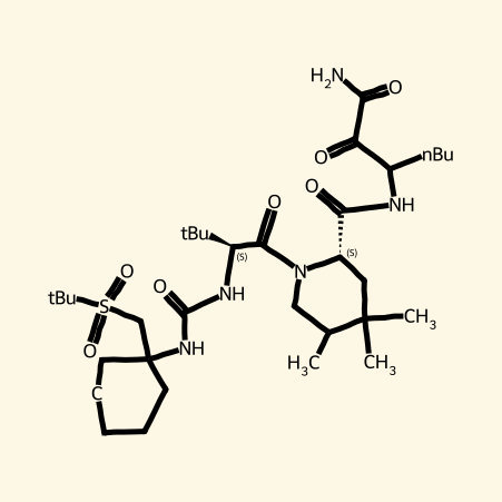 CCCCC(NC(=O)[C@@H]1CC(C)(C)C(C)CN1C(=O)[C@@H](NC(=O)NC1(CS(=O)(=O)C(C)(C)C)CCCCC1)C(C)(C)C)C(=O)C(N)=O